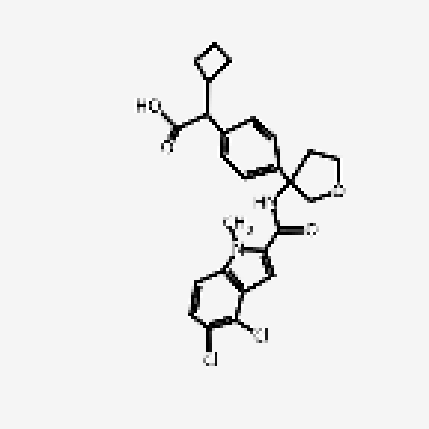 Cn1c(C(=O)NC2(c3ccc(C(C(=O)O)C4CCC4)cc3)CCOC2)cc2c(Cl)c(Cl)ccc21